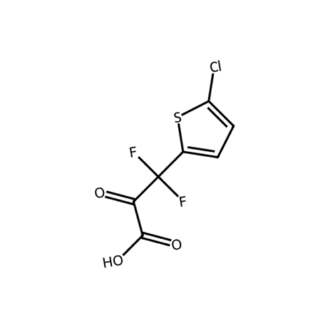 O=C(O)C(=O)C(F)(F)c1ccc(Cl)s1